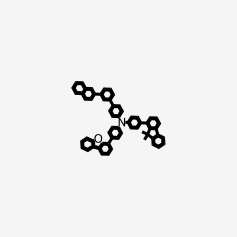 CC1(C)c2ccccc2-c2cccc(-c3ccc(N(c4ccc(-c5cccc(-c6ccc7ccccc7c6)c5)cc4)c4ccc(-c5cccc6c5oc5ccccc56)cc4)cc3)c21